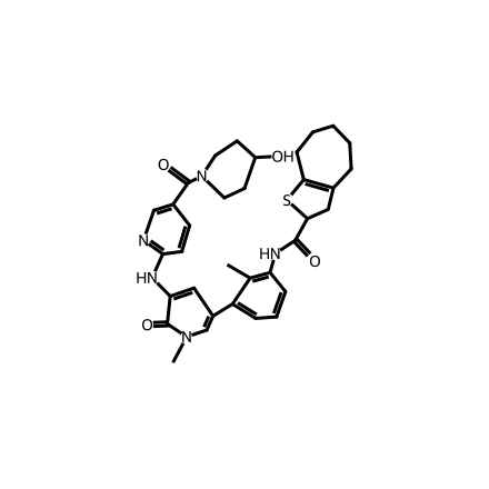 Cc1c(NC(=O)C2CC3=C(CCCCC3)S2)cccc1-c1cc(Nc2ccc(C(=O)N3CCC(O)CC3)cn2)c(=O)n(C)c1